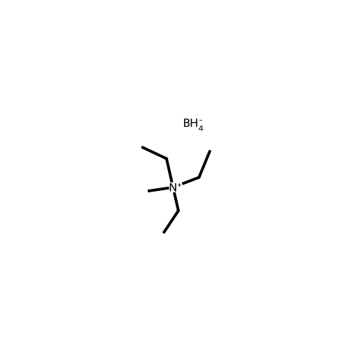 CC[N+](C)(CC)CC.[BH4-]